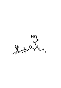 CC(CCO)COCCNC(=O)C(C)C